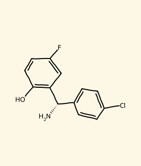 N[C@@H](c1ccc(Cl)cc1)c1cc(F)ccc1O